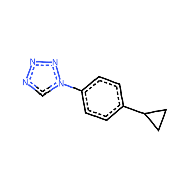 c1cc(-n2cnnn2)ccc1C1CC1